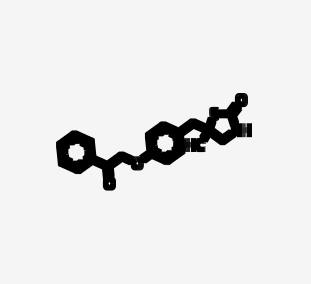 O=CC1(Cc2ccc(OCC(=O)c3ccccc3)cc2)CNC(=O)S1